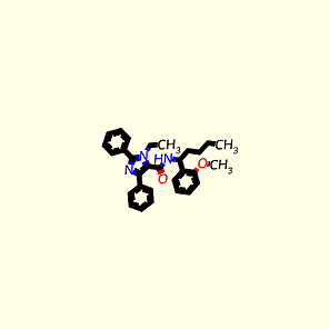 CCCCC(NC(=O)c1c(-c2ccccc2)nc(-c2ccccc2)n1CC)c1ccccc1OC